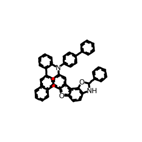 c1ccc(-c2ccc(N(c3ccc4oc5ccc6c(c5c4c3)OC(c3ccccc3)N6)c3ccccc3-c3ccc4ccccc4c3)cc2)cc1